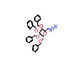 [N-]=[N+]=NC[C@H]1O[C@H](COCc2ccccc2)[C@@H](OCc2ccccc2)[C@H](OCc2ccccc2)[C@@H]1OCc1ccccc1